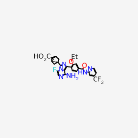 CCOc1cc(C(=O)Nc2cc(C(F)(F)F)ccn2)ccc1-c1nc(C23CCC(C(=O)O)(CC2)CC3)n2c(F)cnc(N)c12